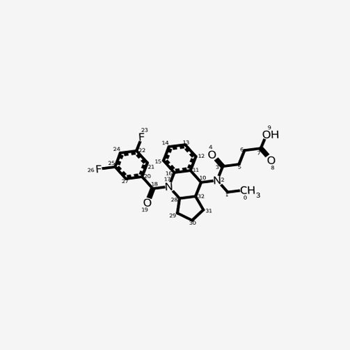 CCN(C(=O)CCC(=O)O)C1c2ccccc2N(C(=O)c2cc(F)cc(F)c2)C2CCCC12